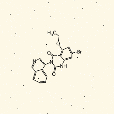 CCOc1cc(Br)cc2[nH]c(=O)n(-c3cncc4ccccc34)c(=O)c12